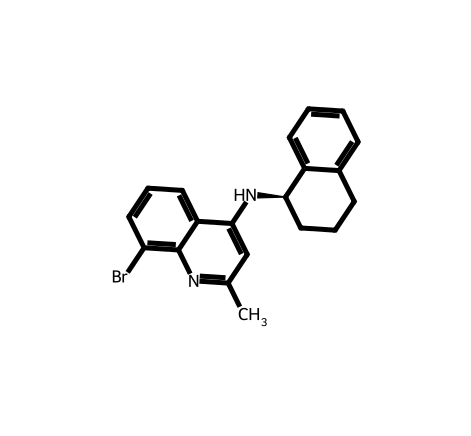 Cc1cc(N[C@@H]2CCCc3ccccc32)c2cccc(Br)c2n1